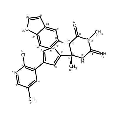 Cc1cnc(Cl)c(-c2csc([C@@]3(C)NC(=N)N(C)C(=O)[C@H]3c3ccc4occc4c3)c2)c1